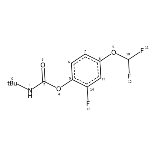 CC(C)(C)NC(=O)Oc1ccc(OC(F)F)cc1F